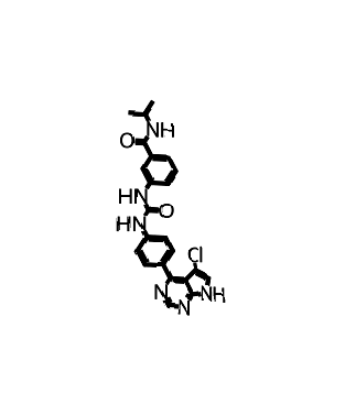 CC(C)NC(=O)c1cccc(NC(=O)Nc2ccc(-c3ncnc4[nH]cc(Cl)c34)cc2)c1